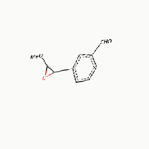 COC1OC1c1cccc(C=O)c1